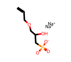 C=CCOCC(O)CP(=O)([O-])[O-].[Na+].[Na+]